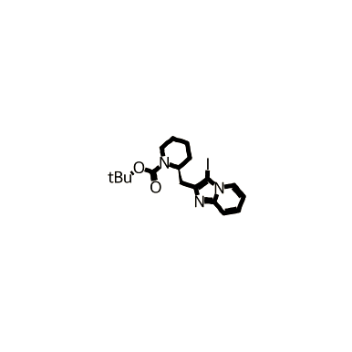 CC(C)(C)OC(=O)N1CCCC[C@H]1Cc1nc2ccccn2c1I